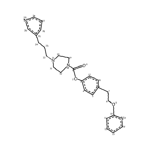 O=C(Oc1ccc(CCOc2ccccn2)cc1)N1CCN(CCCc2cccnc2)CC1